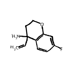 C=CC1(N)CCOc2cc(F)ccc21